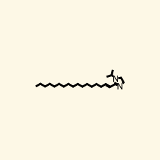 CCCCCCCCCCCCCCC/C=C/C1=NCCN1C(C)C